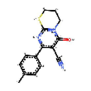 Cc1ccc(-c2nc3n(c(=O)c2C#N)CCCS3)cc1